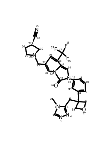 Cn1cnnc1CC1(c2cccc(-n3cc4c(C(F)(F)F)cc(CN5CC[C@@H](C#N)C5)cn4c3=O)c2)COC1